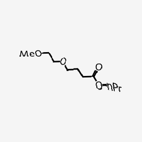 CCCOC(=O)CCCOCCOC